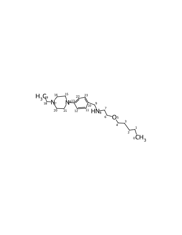 CCCCCOCCNCc1ccc(N2CCN(CC)CC2)cc1